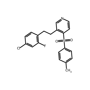 Cc1ccc(S(=O)(=O)c2ccncc2CCc2ccc(Cl)cc2F)cc1